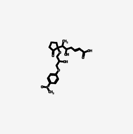 CC(C(O)CC=CC(=O)O)C1(OCC(O)COc2ccc([S+](C)[O-])cc2)CCCC1=O